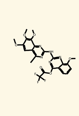 COc1cc2c(C)nc(Nc3nc(OC(=O)C(F)(F)F)c4cccc(OC)c4n3)nc2c(OC)c1OC